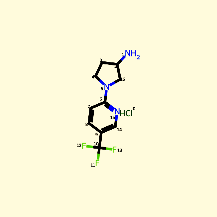 Cl.NC1CCN(c2ccc(C(F)(F)F)cn2)C1